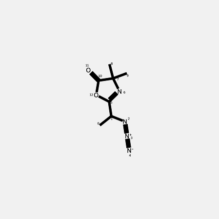 CC(N=[N+]=[N-])C1=NC(C)(C)C(=O)O1